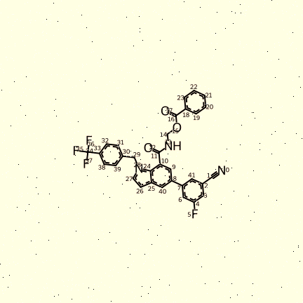 N#Cc1cc(F)cc(-c2cc(C(=O)NCOC(=O)c3ccccc3)c3c(ccn3Cc3ccc(C(F)(F)F)cc3)c2)c1